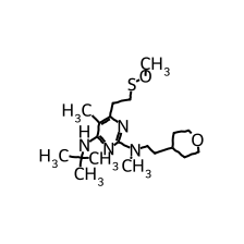 COSCCc1nc(N(C)CCC2CCOCC2)nc(NC(C)(C)C)c1C